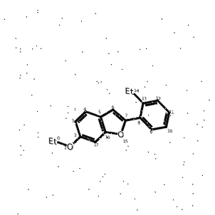 CCOc1ccc2cc(-c3ccccc3CC)oc2c1